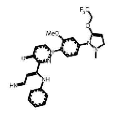 COc1cc(N2C(OCC(F)(F)F)=CCN2C)ccc1-n1ccc(=O)c(/C(=C/C=N)Nc2ccccc2)n1